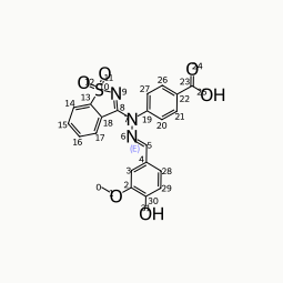 COc1cc(/C=N/N(C2=NS(=O)(=O)c3ccccc32)c2ccc(C(=O)O)cc2)ccc1O